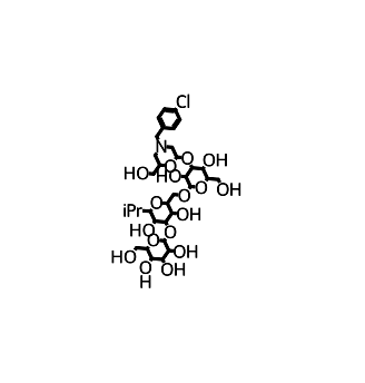 CC(C)C1OC(COC2OC(CO)C(O)C(OC3CN(Cc4ccc(Cl)cc4)CC(CO)O3)C2O)C(O)C(OC2OC(CO)C(O)C(O)C2O)C1O